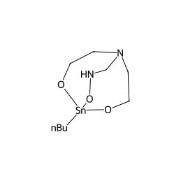 CCC[CH2][Sn]12[O]CCN(CC[O]1)CN[O]2